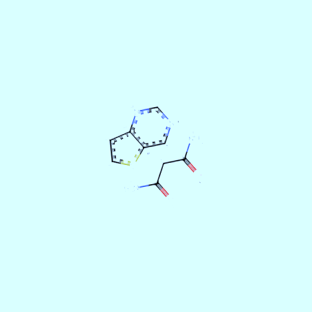 NC(=O)CC(N)=O.c1ncc2sccc2n1